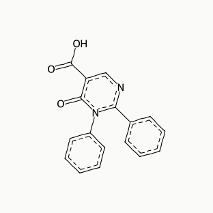 O=C(O)c1cnc(-c2ccccc2)n(-c2ccccc2)c1=O